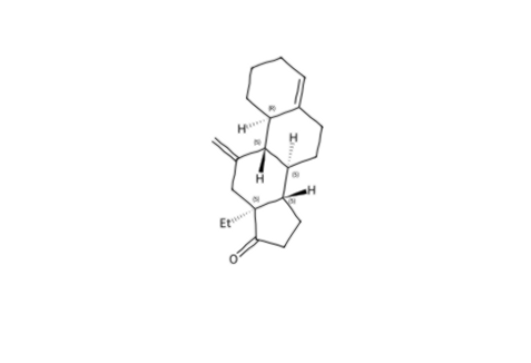 C=C1C[C@]2(CC)C(=O)CC[C@H]2[C@@H]2CCC3=CCCC[C@@H]3[C@@H]12